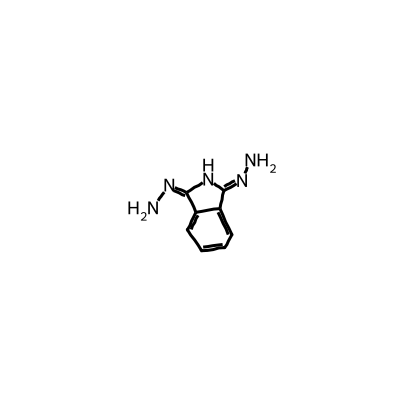 N/N=C1\N/C(=N/N)c2ccccc21